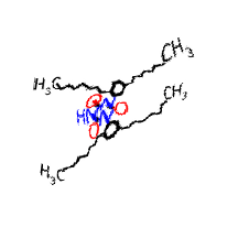 CCCCCCCCc1ccc(CCCCCCCC)c(-n2c(=O)[nH]c(=O)n(-c3cc(CCCCCCCC)ccc3CCCCCCCC)c2=O)c1